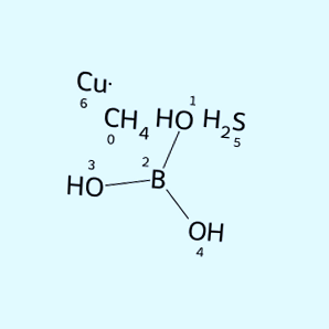 C.OB(O)O.S.[Cu]